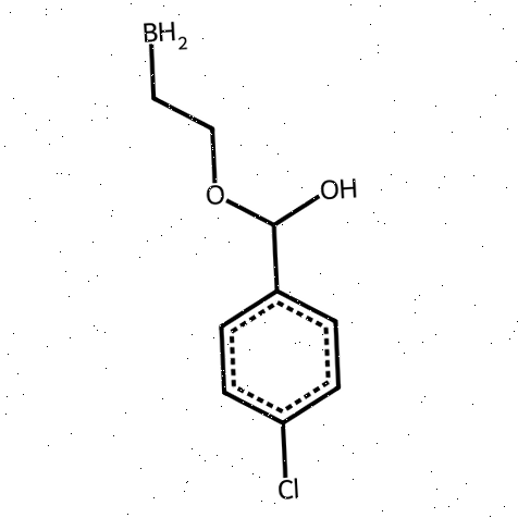 BCCOC(O)c1ccc(Cl)cc1